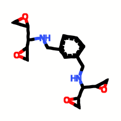 c1cc(CNC(C2CO2)C2CO2)cc(CNC(C2CO2)C2CO2)c1